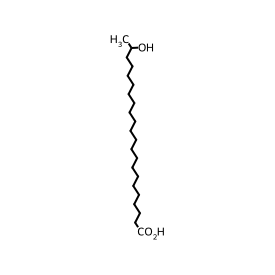 CC(O)CCCCCCCCCCCCCCCCCCCC(=O)O